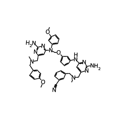 COc1ccc(CN(C)Cc2cc(N(COc3cccc(Nc4cc(CN(C)Cc5cccc(C#N)c5)nc(N)n4)c3)c3cccc(OC)c3)nc(N)n2)cc1